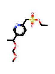 CCOS(=O)(=O)Cc1ccc(C(C)OCOC)cn1